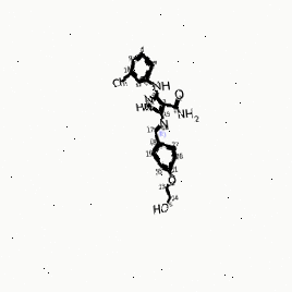 NC(=O)c1c(Nc2cccc(Cl)c2)n[nH]c1/N=C/c1ccc(OCCO)cc1